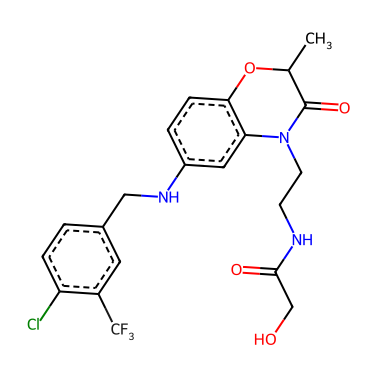 CC1Oc2ccc(NCc3ccc(Cl)c(C(F)(F)F)c3)cc2N(CCNC(=O)CO)C1=O